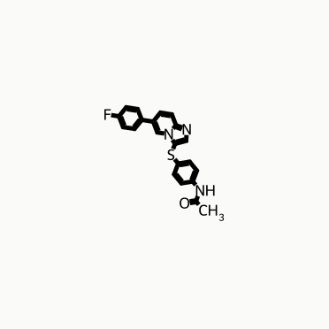 CC(=O)Nc1ccc(Sc2cnc3ccc(-c4ccc(F)cc4)cn23)cc1